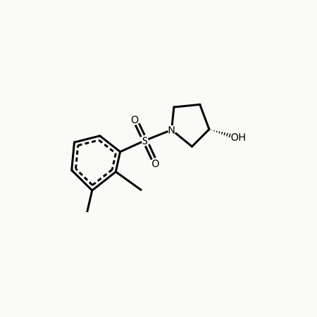 Cc1cccc(S(=O)(=O)N2CC[C@H](O)C2)c1C